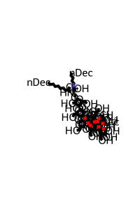 CCCCCCCCCCCCC/C=C/[C@@H](O)[C@H](CO[C@@H]1OC(CO)[C@@H](O[C@@H]2OC(CO)[C@H](O[C@@H]3OC(CO)[C@H](O)[C@H](O[C@@H]4OC(CO)[C@H](O)[C@H](O[C@H]5OC(CO)[C@H](O)[C@H](O)C5O)C4O[C@H]4OC(C)[C@@H](O)C(O)[C@@H]4O)C3NC(C)=O)[C@H](O[C@]3(C(=O)O)CC(O)[C@@H](NC(C)=O)C([C@H](O)[C@H](O)CO)O3)C2O)[C@H](O)C1O)NC(=O)CCCCCCCCCCCCCCCCC